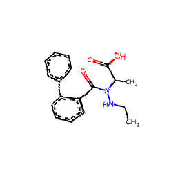 CCNN(C(=O)c1ccccc1-c1ccccc1)C(C)C(=O)O